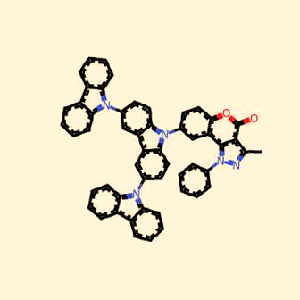 Cc1nn(-c2ccccc2)c2c1c(=O)oc1ccc(-n3c4ccc(-n5c6ccccc6c6ccccc65)cc4c4cc(-n5c6ccccc6c6ccccc65)ccc43)cc12